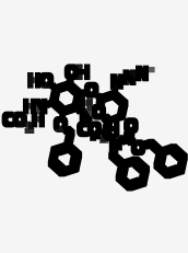 C[C@H]([C@@H]1CC[C@@H](N=[N+]=[N-])[C@@H](O[C@H]2[C@H](O)[C@@H](O)[C@H](NC(=O)O)[C@@H](OCc3ccccc3)[C@@H]2NC(=O)O)O1)N(Cc1ccccc1)C(=O)OCc1ccccc1